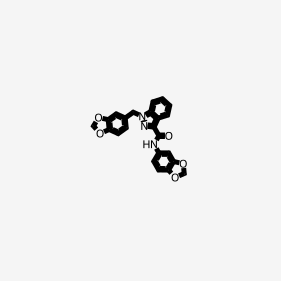 O=C(Nc1ccc2c(c1)OCO2)c1nn(Cc2ccc3c(c2)OCO3)c2ccccc12